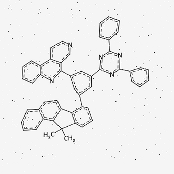 CC1(C)c2cccc(-c3cc(-c4nc(-c5ccccc5)nc(-c5ccccc5)n4)cc(-c4nc5ccccc5c5ccncc45)c3)c2-c2ccc3ccccc3c21